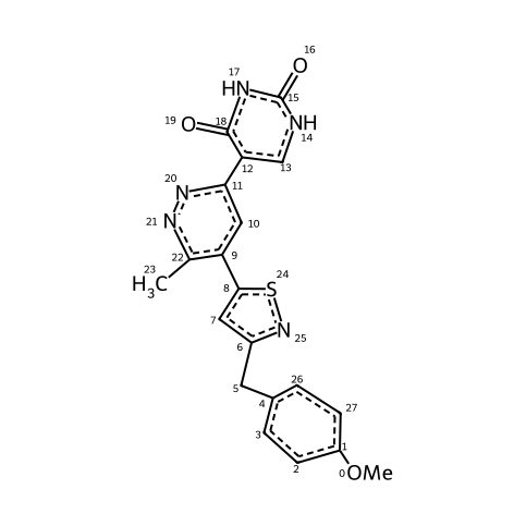 COc1ccc(Cc2cc(-c3cc(-c4c[nH]c(=O)[nH]c4=O)nnc3C)sn2)cc1